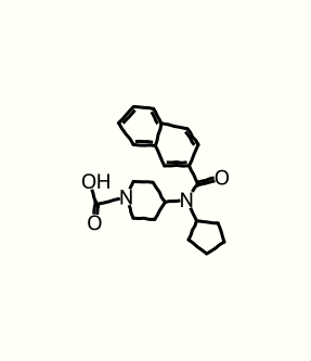 O=C(O)N1CCC(N(C(=O)c2ccc3ccccc3c2)C2CCCC2)CC1